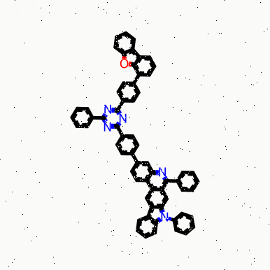 c1ccc(-c2nc(-c3ccc(-c4ccc5c(c4)nc(-c4ccccc4)c4cc6c(cc45)c4ccccc4n6-c4ccccc4)cc3)nc(-c3ccc(-c4cccc5c4oc4ccccc45)cc3)n2)cc1